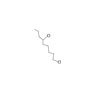 CCCC(Cl)CCCCCCl